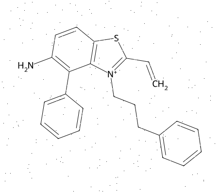 C=Cc1sc2ccc(N)c(-c3ccccc3)c2[n+]1CCCc1ccccc1